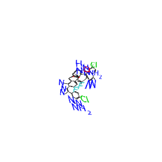 Cn1ncc(-c2ccc(Cl)c3c2nc(N)n3C)c1-c1c(F)cc2cc(Nc3nc4c(-c5cnn(C)c5-c5c(F)cc6ccccc6c5C(N)=O)ccc(Cl)c4n3C)ccc2c1C#N